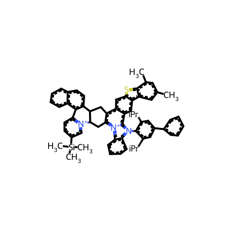 Cc1cc(C)c2sc3cc4c5c([n+]6c7ccccc7n(-c7c(C(C)C)cc(-c8ccccc8)cc7C(C)C)c6c4cc3c2c1)CC1C(C5)c2ccc3ccccc3c2-c2ccc([Si](C)(C)C)c[n+]21